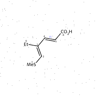 CCC(=CSC)/C=C/C(=O)O